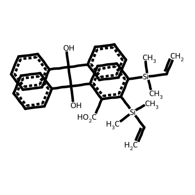 C=C[Si](C)(C)c1ccc(C(O)(c2ccccc2)C(O)(c2ccccc2)c2ccccc2)c(C(=O)O)c1[Si](C)(C)C=C